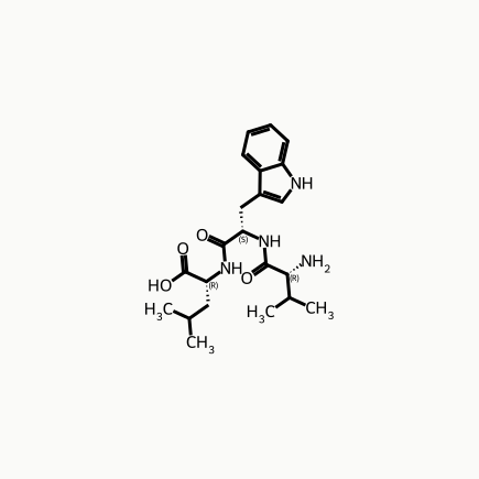 CC(C)C[C@@H](NC(=O)[C@H](Cc1c[nH]c2ccccc12)NC(=O)[C@H](N)C(C)C)C(=O)O